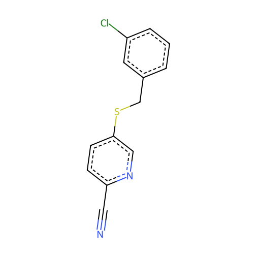 N#Cc1ccc(SCc2cccc(Cl)c2)cn1